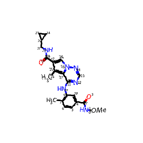 CONC(=O)c1ccc(C)c(Nc2ncnn3cc(C(=O)NCC4CC4)c(C)c23)c1